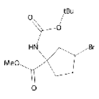 COC(=O)C1(NC(=O)OC(C)(C)C)CCC(Br)C1